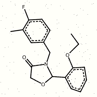 CCOc1ccccc1C1OCC(=O)N1Cc1ccc(F)c(C)c1